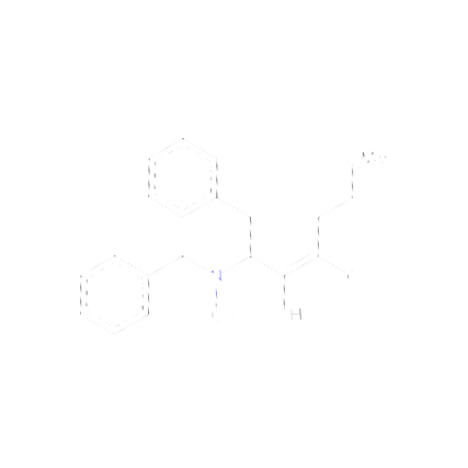 COCCC(C)=C(C)C(Cc1ccccc1)N(C)Cc1ccccc1